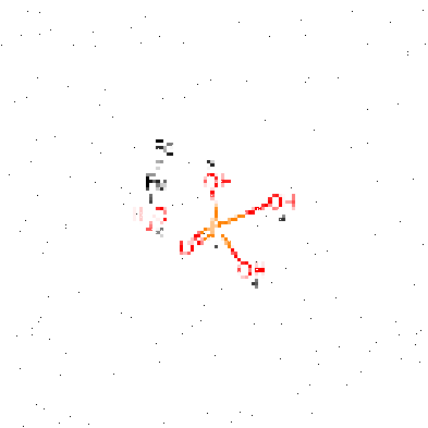 O.O=P(O)(O)O.[Fe].[Fe]